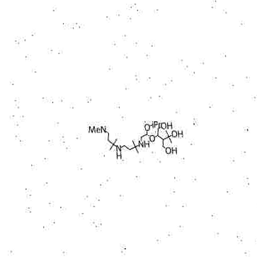 CNCCC(C)(C)NCCC(C)(C)NCC(OC(C)C)OC(CO)C(CO)C(C)(C)O